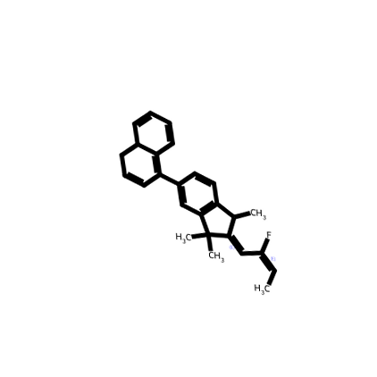 C/C=C(F)\C=C1/C(C)c2ccc(C3=C4C=CC=CC4CC=C3)cc2C1(C)C